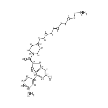 NCCOCCOCCOCCN1CCN(C(=O)[C@H]2Cc3cc(Cl)cc(-c4ccnc(N)c4)c3O2)CC1